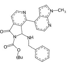 Cn1ccc2c(-c3nccc4c3C(NCc3ccccc3)N(C(=O)OC(C)(C)C)C4=O)ccnc21